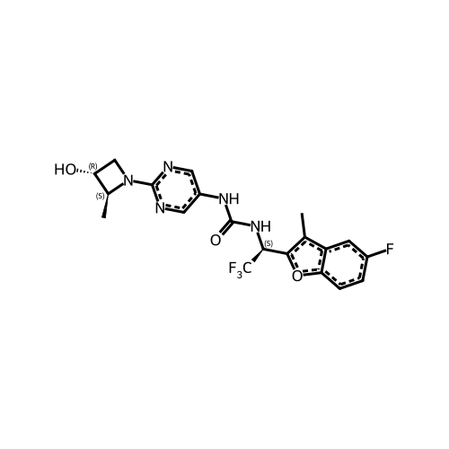 Cc1c([C@H](NC(=O)Nc2cnc(N3C[C@@H](O)[C@@H]3C)nc2)C(F)(F)F)oc2ccc(F)cc12